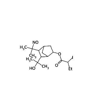 CCC(I)C(=O)OC1CC2CC1C(C(C)(C)O)C2C(C)(C)N=O